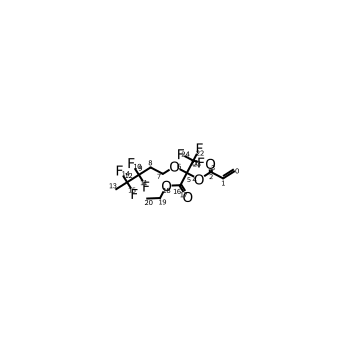 C=CC(=O)OC(OCCC(F)(F)C(C)(F)F)(C(=O)OCC)C(F)(F)F